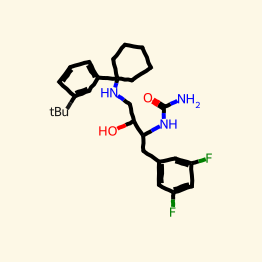 CC(C)(C)c1cccc(C2(NCC(O)C(Cc3cc(F)cc(F)c3)NC(N)=O)CCCCC2)c1